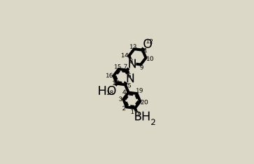 Bc1ccc(-c2nc(N3CCC(=O)CC3)ccc2O)cc1